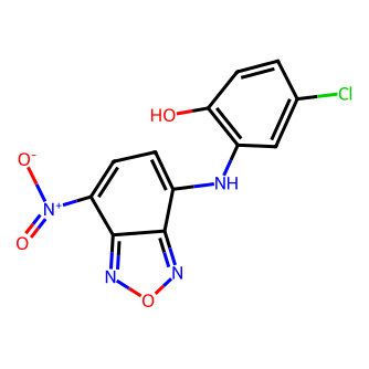 O=[N+]([O-])c1ccc(Nc2cc(Cl)ccc2O)c2nonc12